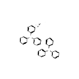 [C-]#N.[C-]#N.[Pd+2].c1ccc(P(c2ccccc2)c2ccccc2)cc1.c1ccc(P(c2ccccc2)c2ccccc2)cc1